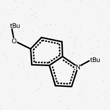 CC(C)(C)Oc1ccc2c(ccn2C(C)(C)C)c1